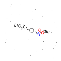 CCOC(=O)CC[C@H]1CC[C@H](CCN(C)C(=O)OC(C)(C)C)CC1